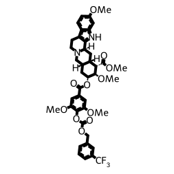 COC(=O)[C@H]1[C@H]2C[C@@H]3c4[nH]c5cc(OC)ccc5c4CCN3C[C@H]2C[C@@H](OC(=O)c2cc(OC)c(OC(=O)OCc3cccc(C(F)(F)F)c3)c(OC)c2)[C@@H]1OC